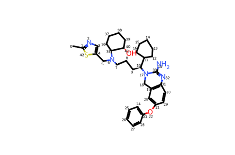 Cc1ncc(CN(CCC[C@@H](C2CCCCC2)N2Cc3cc(Oc4ccccc4)ccc3N=C2N)[C@H]2CCCC[C@@H]2O)s1